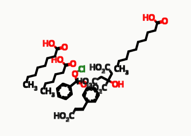 CCCCCC(=O)O.CCCCCCCC(=O)O.CCCCCCCCCC(=O)O.O=C(O)C=Cc1ccccc1.O=C(O)CC(O)(CC(=O)O)C(=O)O.O=C(OCl)c1ccccc1